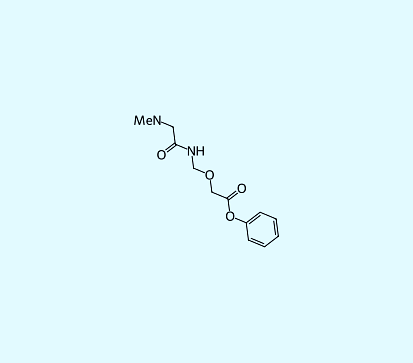 CNCC(=O)NCOCC(=O)Oc1ccccc1